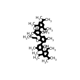 CSCCOc1c(-c2cc(C)cc(-c3c(C(C)C)cc(C(C)C)cc3C(C)C)c2O)cc(C)cc1-c1cc(C)cc(-c2c(C(C)C)cc(C(C)C)cc2C(C)C)c1O